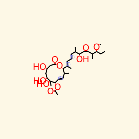 CCC(OC)C(C)C1OC1C(O)C(C)/C=C/C=C(\C)C1OC(=O)CC(O)CC(O)C(C)(O)C(OC(C)=O)/C=C/C1C